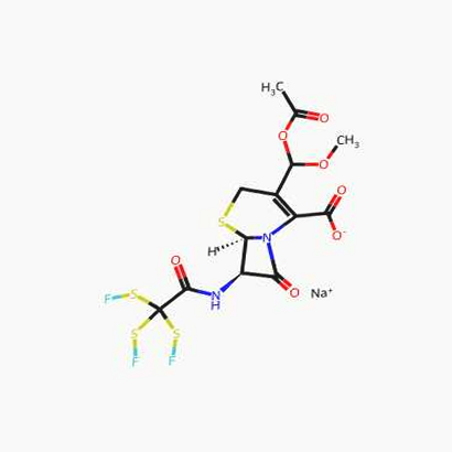 COC(OC(C)=O)C1=C(C(=O)[O-])N2C(=O)[C@@H](NC(=O)C(SF)(SF)SF)[C@H]2SC1.[Na+]